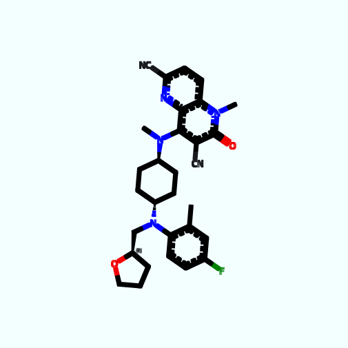 Cc1cc(F)ccc1N(C[C@H]1CCCO1)[C@H]1CC[C@H](N(C)c2c(C#N)c(=O)n(C)c3ccc(C#N)nc23)CC1